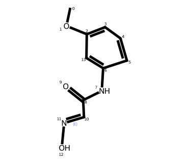 COc1cccc(NC(=O)/C=N/O)c1